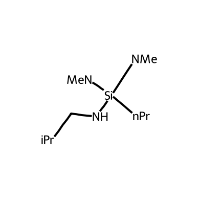 CCC[Si](NC)(NC)NCC(C)C